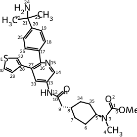 COC(=O)N(C)[C@H]1CC[C@H](CC(=O)Nc2cnc(-c3ccc(C(C)(C)N)cc3)c(-c3ccsc3)c2)CC1